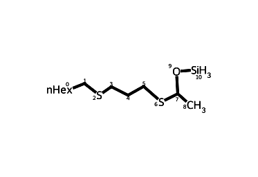 CCCCCCCSCCCSC(C)O[SiH3]